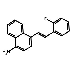 Nc1ccc(/C=C/c2ccccc2F)c2ccccc12